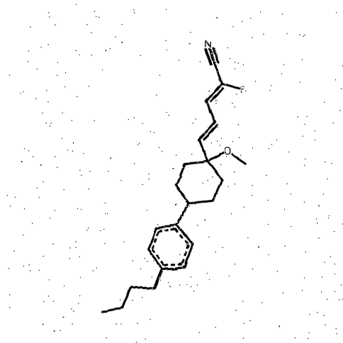 CCCCc1ccc(C2CCC(C=CC=C(F)C#N)(OC)CC2)cc1